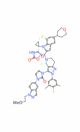 COCCn1ncc2cc(-n3ccn(-c4c5c(nn4-c4cc(C)c(F)c(C)c4)CCN(C(=O)c4cc6cc(C7CCOCC7)cc(F)c6n4[C@@]4(c6noc(=O)[nH]6)C[C@@H]4C)[C@H]5C)c3=O)ccc21